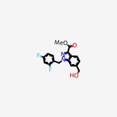 COC(=O)c1nn(Cc2ccc(F)cc2F)c2cc(CO)ccc12